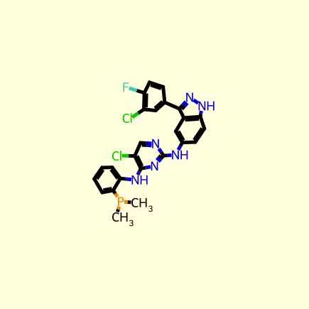 CP(C)c1ccccc1Nc1nc(Nc2ccc3[nH]nc(-c4ccc(F)c(Cl)c4)c3c2)ncc1Cl